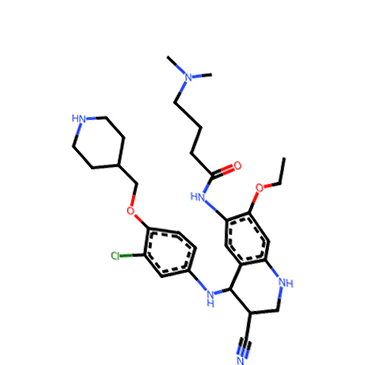 CCOc1cc2c(cc1NC(=O)CCCN(C)C)C(Nc1ccc(OCC3CCNCC3)c(Cl)c1)C(C#N)CN2